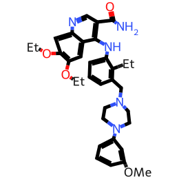 CCOc1cc2ncc(C(N)=O)c(Nc3cccc(CN4CCN(c5cccc(OC)c5)CC4)c3CC)c2cc1OCC